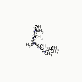 CC(C)=CCC/C(C)=C\CC/C(C)=C/CC/C=C(\C)CC/C=C(\C)CC/C=C(\C)CO